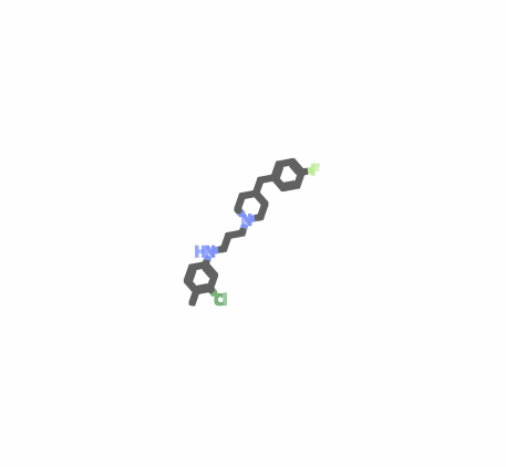 Cc1ccc(NCCCN2CCC(Cc3ccc(F)cc3)CC2)cc1Cl